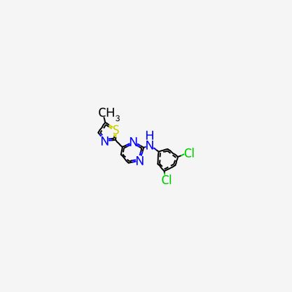 Cc1cnc(-c2ccnc(Nc3cc(Cl)cc(Cl)c3)n2)s1